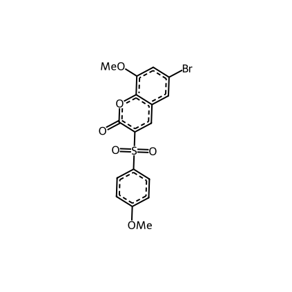 COc1ccc(S(=O)(=O)c2cc3cc(Br)cc(OC)c3oc2=O)cc1